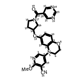 COc1ncc(N2CCOc3ccc(OC4CCN(C(=O)c5cncnc5)C4)cc32)cc1C#N